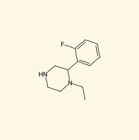 CCN1CCNCC1c1ccccc1F